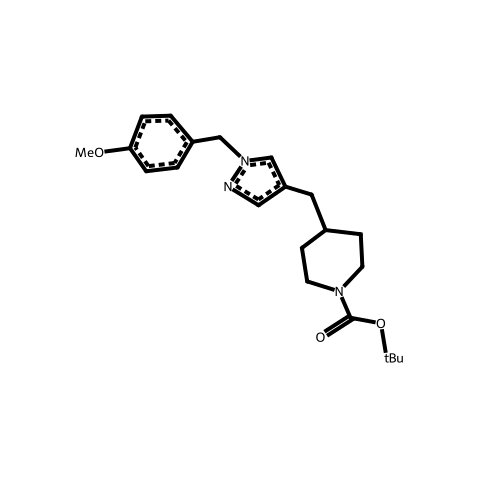 COc1ccc(Cn2cc(CC3CCN(C(=O)OC(C)(C)C)CC3)cn2)cc1